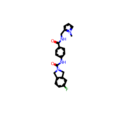 Cn1cccc1CNC(=O)c1ccc(NC(=O)N2Cc3ccc(F)cc3C2)cc1